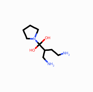 NCCC(CN)C(O)(O)N1CCCC1